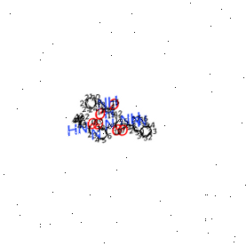 O=C(Cn1cccc(NC(=O)[C@H](CCC(=O)C(=O)NC2CCCCC2)NC(=O)c2cc3ccccc3nn2)c1=O)NC12CC(C1)C2